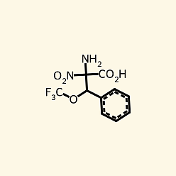 NC(C(=O)O)(C(OC(F)(F)F)c1ccccc1)[N+](=O)[O-]